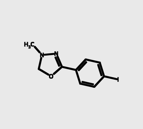 CN1COC(c2ccc(I)cc2)=N1